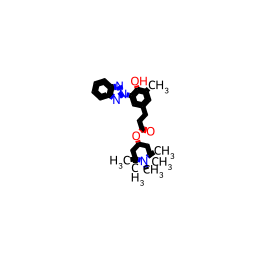 Cc1cc(CCC(=O)OC2CC(C)(C)N(C)C(C)(C)C2)cc(-n2nc3ccccc3n2)c1O